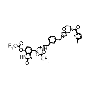 Cc1ccc(C(=O)N2CCOC3(CN(Cc4cccc(CCNC[C@H](OC(=O)C(F)(F)F)c5ccc(OC(=O)C(F)(F)F)c6[nH]c(=O)sc56)c4)C3)C2)s1